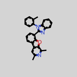 Cc1cc2c(oc3c(-c4nc5ccccc5n4-c4ccccc4C)cccc32)c(C)n1